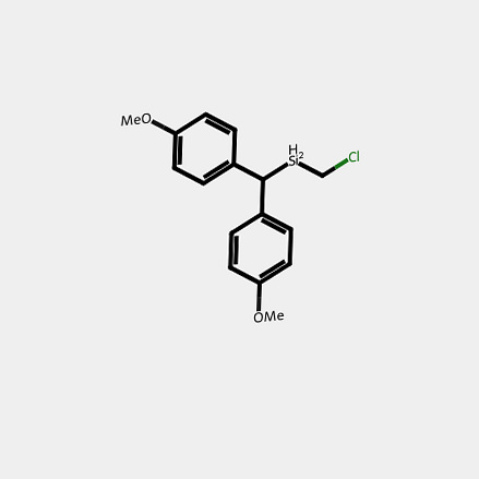 COc1ccc(C([SiH2]CCl)c2ccc(OC)cc2)cc1